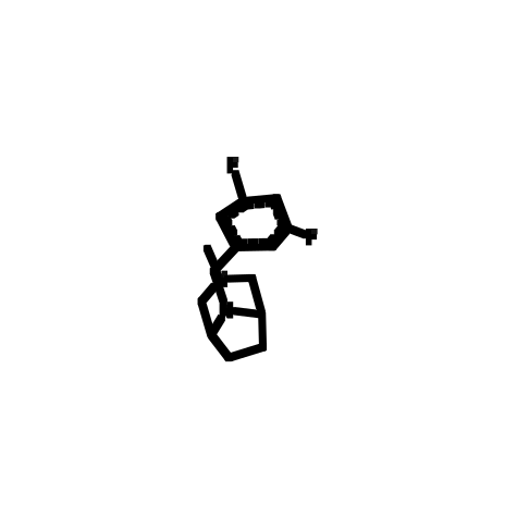 CN1CC2CCC(C1)N2Cc1cc(F)cc(F)c1